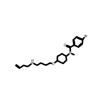 C=CCCNCCCCOC1CCC(N(C)C(=O)c2ccc(Br)cc2)CC1